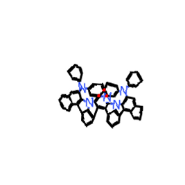 c1ccc(N(c2ccccc2)c2cc3ccccc3c3c4cccc5c6c7c8cccc9c%10c%11ccccc%11cc(N(c%11ccccc%11)c%11ccccc%11)c%10n(c7ncc6n(c23)c54)c89)cc1